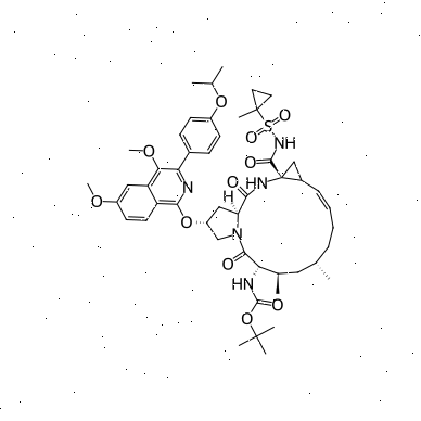 COc1ccc2c(O[C@@H]3C[C@H]4C(=O)N[C@]5(C(=O)NS(=O)(=O)C6(C)CC6)CC5/C=C\CC[C@H](C)C[C@@H](C)[C@H](NC(=O)OC(C)(C)C)C(=O)N4C3)nc(-c3ccc(OC(C)C)cc3)c(OC)c2c1